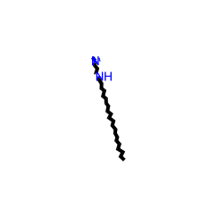 CCCCCCCCCCCCCCCCCCCCCCNCCCN(C)C